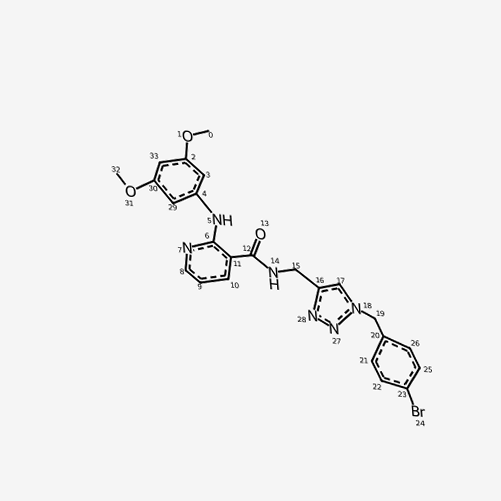 COc1cc(Nc2ncccc2C(=O)NCc2cn(Cc3ccc(Br)cc3)nn2)cc(OC)c1